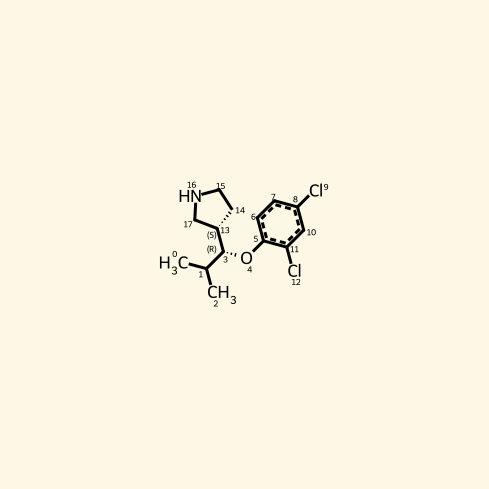 CC(C)[C@@H](Oc1ccc(Cl)cc1Cl)[C@H]1CCNC1